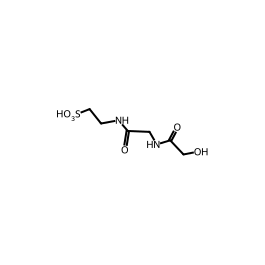 O=C(CO)NCC(=O)NCCS(=O)(=O)O